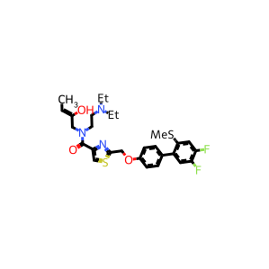 CC=C(O)CN(CCN(CC)CC)C(=O)c1csc(COc2ccc(-c3cc(F)c(F)cc3SC)cc2)n1